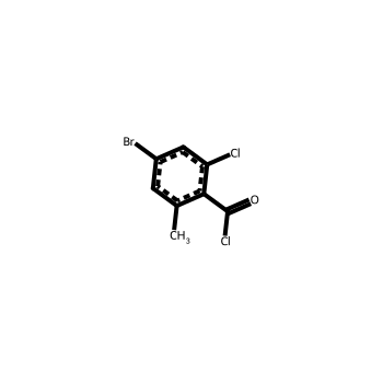 Cc1cc(Br)cc(Cl)c1C(=O)Cl